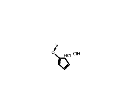 Cl.Cl.[V][O]C1=CC=CC1